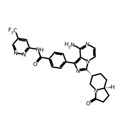 Nc1nccn2c([C@@H]3CC[C@H]4CCC(=O)N4C3)nc(-c3ccc(C(=O)Nc4cc(C(F)(F)F)cnn4)cc3)c12